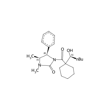 CCCC[C@H](O)C1(C(=O)N2C(=O)N(C)[C@@H](C)[C@H]2c2ccccc2)CCCCC1